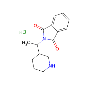 CC(C1CCCNC1)N1C(=O)c2ccccc2C1=O.Cl